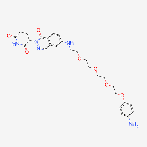 Nc1ccc(OCCOCCOCCOCCNc2ccc3c(=O)n(C4CCC(=O)NC4=O)ncc3c2)cc1